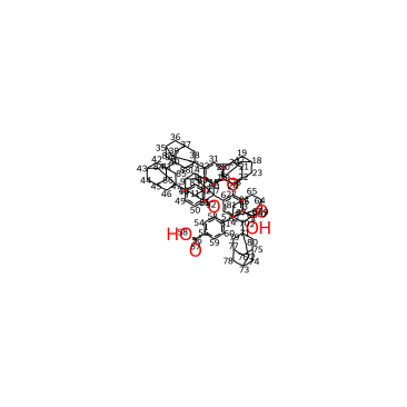 O=C(O)c1ccc(C23CC4CC(CC(C4)C2C24CC5CC(CC(C5)C2)C4)C3)c(Oc2ccc(C34CC5CC(C3)CC(C36CC7CC(CC(c8ccc(Oc9cc(C(=O)O)ccc9C9%10CC%11CC(CC(C%11)C9C9%11CC%12CC(CC(C%12)C9)C%11)C%10)cc8)(C7)C3)C6)(C5)C4)cc2)c1